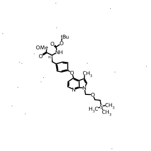 COC(=O)[C@H](Cc1ccc(Oc2ccnc3c2c(C)cn3COCCS(C)(C)C)cc1)NC(=O)OC(C)(C)C